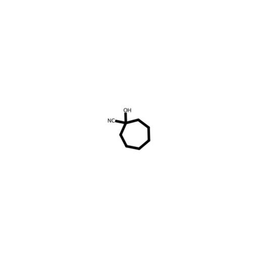 N#CC1(O)CCCCCC1